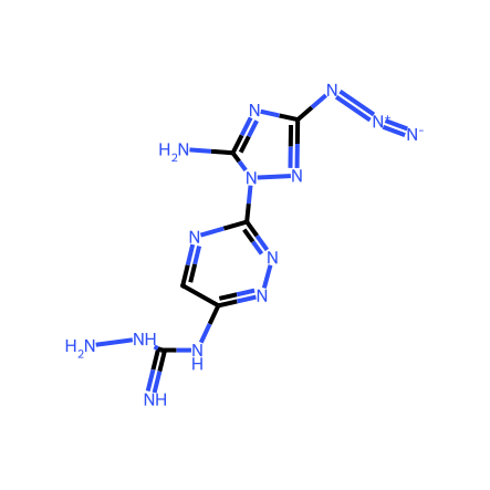 [N-]=[N+]=Nc1nc(N)n(-c2ncc(NC(=N)NN)nn2)n1